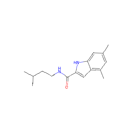 Cc1cc(C)c2cc(C(=O)NCCC(C)C)[nH]c2c1